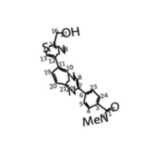 CNC(=O)c1ccc(-c2cn3cc(-c4csc(CO)n4)ccc3n2)cc1